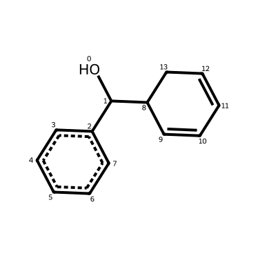 OC(c1ccccc1)C1C=CC=CC1